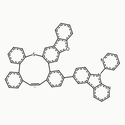 C1=C\c2ccc(-c3ccc4c(c3)c3cccnc3n4-c3ccccn3)cc2-c2cc3oc4ccccc4c3cc2Sc2ccccc2-c2ccccc2/1